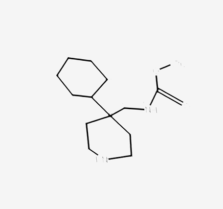 CC(C)(C)OC(=O)NCC1(C2CCCCC2)CCNCC1